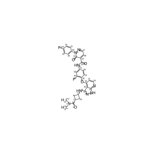 CN(C)C(=O)[C@H]1C[C@@H](Nc2n[nH]c3nccc(Oc4ccc(NC(=O)c5ccnn(-c6ccc(F)cc6)c5=O)cc4F)c23)C1